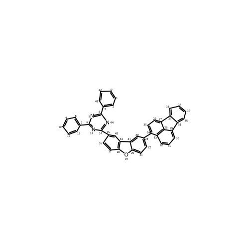 c1ccc(-c2nc(-c3ccccc3)nc(-c3ccc4oc5ccc(-c6ccc7c8c(cccc68)-c6ccccc6-7)cc5c4c3)n2)cc1